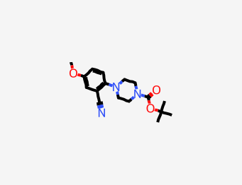 COc1ccc(N2CCN(C(=O)OC(C)(C)C)CC2)c(C#N)c1